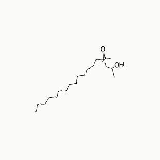 CCCCCCCCCCCCCCP(C)(=O)CC(C)O